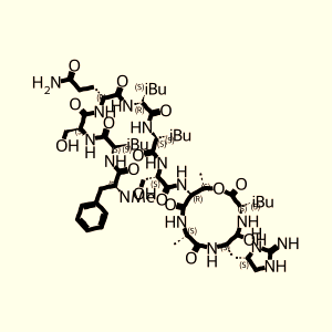 CC[C@H](C)[C@H](NC(=O)[C@@H](Cc1ccccc1)NC)C(=O)N[C@@H](CO)C(=O)N[C@H](CCC(N)=O)C(=O)N[C@@H](C(=O)N[C@H](C(=O)N[C@@H](CO)C(=O)N[C@H]1C(=O)N[C@@H](C)C(=O)N[C@@H](C[C@H]2CNC(=N)N2)C(O)N[C@@H]([C@@H](C)CC)C(=O)O[C@H]1C)[C@@H](C)CC)[C@@H](C)CC